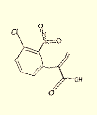 C=C(C(=O)O)c1cccc(Cl)c1[SH](=O)=O